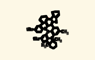 Cc1cc2c3c(c1)N1c4c(cc(C(C)(C)C)cc4C4(C)CCCCC14C)B3N(c1ccc(C(C)(C)C)cc1-c1ccccc1)c1ccc3c(sc4ccccc43)c1-2